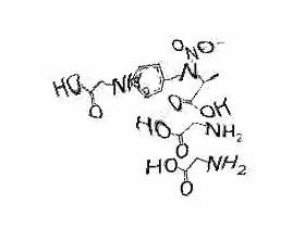 C[C@@H](C(=O)O)N(c1ccccc1)[N+](=O)[O-].NCC(=O)O.NCC(=O)O.NCC(=O)O